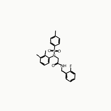 Cc1ccc(S(=O)(=O)N(CC(=O)NCc2ccccc2F)c2cccc(C)c2C)cc1